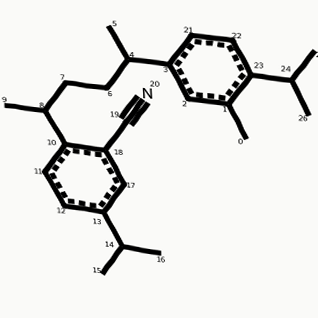 Cc1cc(C(C)CCC(C)c2ccc(C(C)C)cc2C#N)ccc1C(C)C